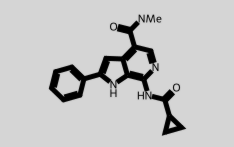 CNC(=O)c1cnc(NC(=O)C2CC2)c2[nH]c(-c3ccccc3)cc12